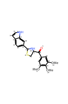 COc1cc(C(=O)C2CSC(c3ccc4cc[nH]c4c3)N2)cc(OC)c1OC